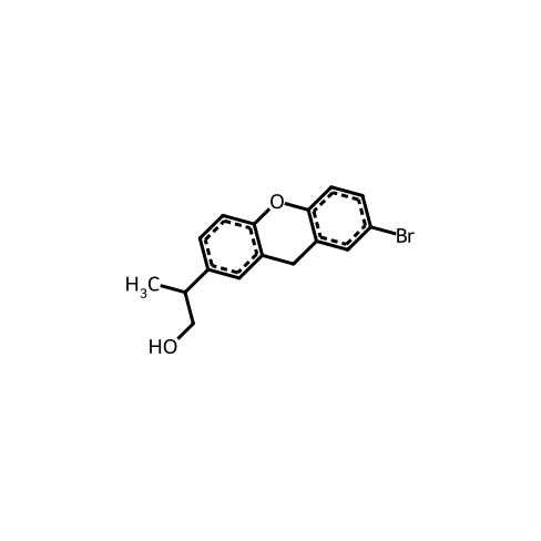 CC(CO)c1ccc2c(c1)Cc1cc(Br)ccc1O2